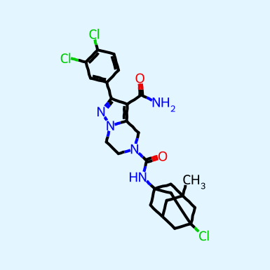 CC12CC3CC(Cl)(C1)CC(NC(=O)N1CCn4nc(-c5ccc(Cl)c(Cl)c5)c(C(N)=O)c4C1)(C3)C2